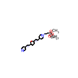 CO[Si](CCC[n+]1ccc(/C=C/c2ccc(/C=C/c3ccncc3)cc2)cc1)(OC)OC